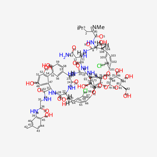 CN[C@H](CC(C)C)C(=O)N[C@H]1C(=O)N[C@@H](CC(N)=O)C(=O)NC2C(=O)N[C@H]3C(=O)N[C@H](C(=O)NC(C(=O)NCC(=O)Nc4cc(C)ccc4O)c4cc(O)cc(O)c4-c4cc3ccc4O)[C@H](O)c3ccc(c(Cl)c3)Oc3cc2cc(c3O[C@@H]2O[C@H](CO)[C@@H](O)[C@H](O)[C@H]2OC2C[C@](C)(N)[C@H](O)[C@H](C)O2)Oc2ccc(cc2Cl)[C@H]1O